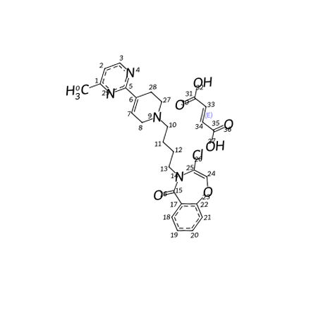 Cc1ccnc(C2=CCN(CCCCN3C(=O)c4ccccc4OC=C3Cl)CC2)n1.O=C(O)/C=C/C(=O)O